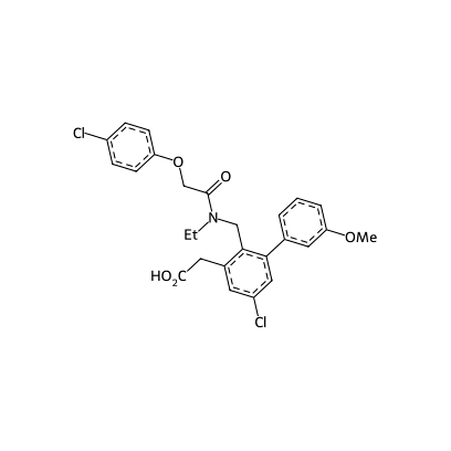 CCN(Cc1c(CC(=O)O)cc(Cl)cc1-c1cccc(OC)c1)C(=O)COc1ccc(Cl)cc1